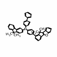 CC1(C)c2ccccc2-c2cc(N(c3ccc(-c4ccccc4)cc3)c3ccc(-c4cccc5c4C(C)(C)c4c-5oc5ccccc45)cc3)ccc21